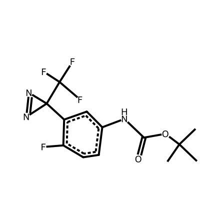 CC(C)(C)OC(=O)Nc1ccc(F)c(C2(C(F)(F)F)N=N2)c1